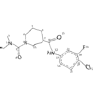 CN(C)C(=O)N1CCCC(C(=O)Nc2ccc(Cl)c(F)c2)C1